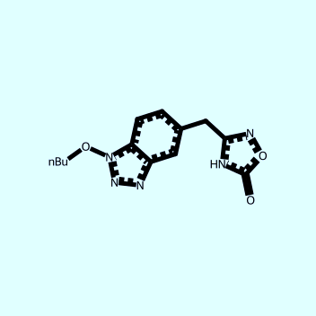 CCCCOn1nnc2cc(Cc3noc(=O)[nH]3)ccc21